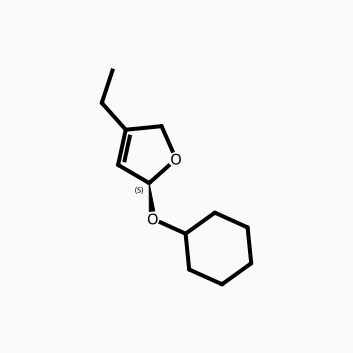 CCC1=C[C@H](OC2CCCCC2)OC1